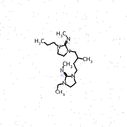 CCCN1CCN(CC(C)CCN2CCN(CC)/C2=N/C)/C1=N/C